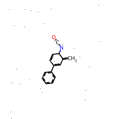 C=C1C=C(c2ccccc2)C=CC1N=C=O